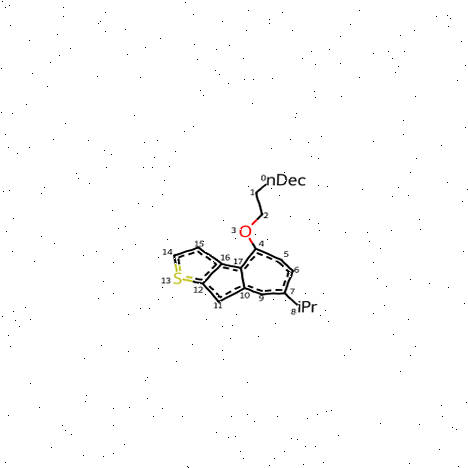 CCCCCCCCCCCCOc1ccc(C(C)C)cc2cc3sccc3c1-2